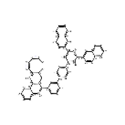 C1=C\CCC2Cc3c(-c4cccc(-c5ccc(-c6nc(-c7ccc8ccccc8c7)nc(-c7ccc8ccccc8c7)n6)cc5)c4)nc4ccccc4c3N=C2\C=C/1